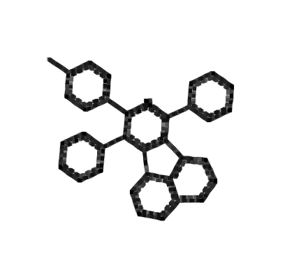 Cc1ccc(-c2nc(-c3ccccc3)c3c(c2-c2ccccc2)-c2cccc4cccc-3c24)cc1